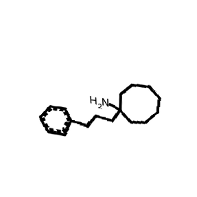 NC1(CCCc2ccccc2)CCCCCCC1